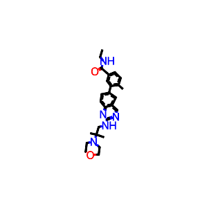 CCNC(=O)c1ccc(C)c(-c2ccc3nc(NCC(C)(C)N4CCOCC4)ncc3c2)c1